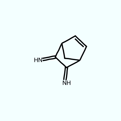 N=C1C(=N)C2C=CC1C2